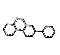 [c]1ccc(-c2ccc3c(cnc4ccccc43)c2)cc1